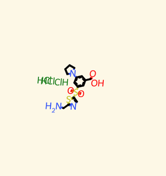 Cl.Cl.Cl.NCc1ncc(S(=O)(=O)c2cc(C(=O)O)cc(N3CCCC3)c2)s1